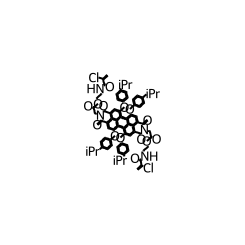 C=C(Cl)C(=O)NCCOC(=O)CN1C(=O)c2cc(Oc3ccc(C(C)C)cc3)c3c4c(Oc5ccc(C(C)C)cc5)cc5c6c(cc(Oc7ccc(C(C)C)cc7)c(c7c(Oc8ccc(C(C)C)cc8)cc(c2c37)C1=O)c64)C(=O)N(CC(=O)OCCNC(=O)C(=C)Cl)C5=O